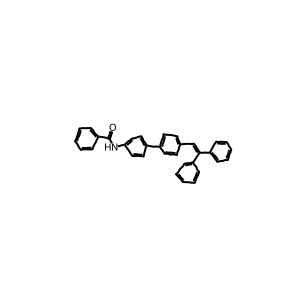 O=C(Nc1ccc(-c2ccc(C=C(c3ccccc3)c3ccccc3)cc2)cc1)c1ccccc1